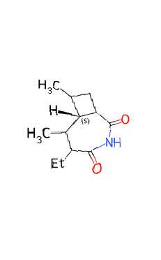 CCC1C(=O)NC(=O)C2CC(C)[C@H]2C1C